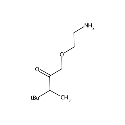 CC(C(=O)COCCN)C(C)(C)C